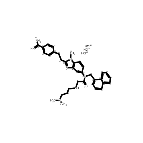 CN(C)CCCNCC(=O)N(Cc1cccc2ccccc12)c1ccc2c(c1)nc(CCc1ccc(C(=N)N)cc1)n2C.Cl.Cl.Cl